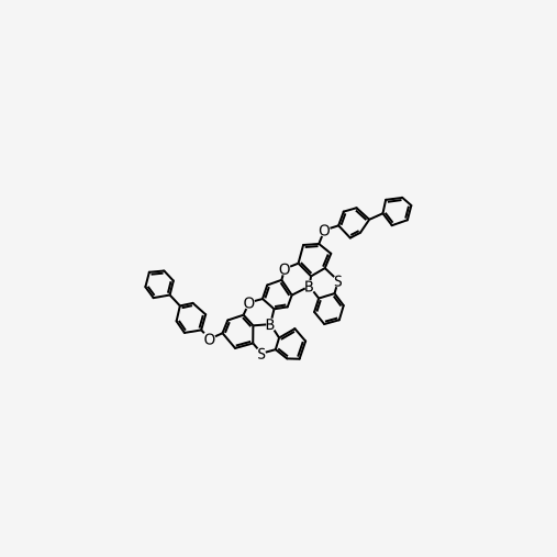 c1ccc(-c2ccc(Oc3cc4c5c(c3)Sc3ccccc3B5c3cc5c(cc3O4)Oc3cc(Oc4ccc(-c6ccccc6)cc4)cc4c3B5c3ccccc3S4)cc2)cc1